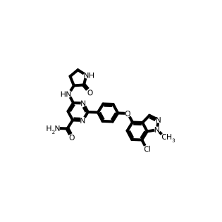 Cn1ncc2c(Oc3ccc(-c4nc(NC5CCNC5=O)cc(C(N)=O)n4)cc3)ccc(Cl)c21